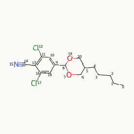 CCCCCC1COC(c2cc(Cl)c(C#N)c(Cl)c2)OC1